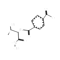 C[C@@H](O)[C@H](NC(=O)c1ccc(C(=O)O)cc1)C(=O)NO